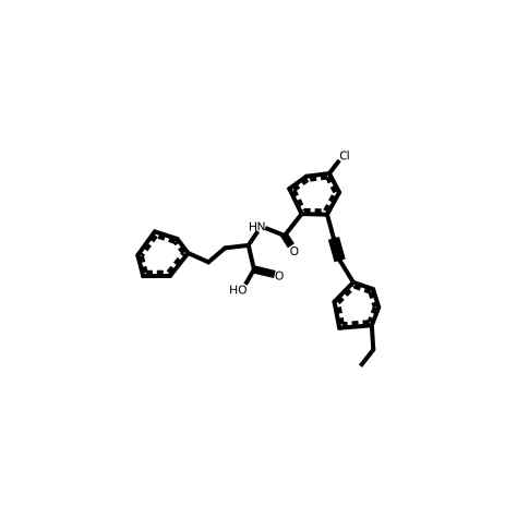 CCc1ccc(C#Cc2cc(Cl)ccc2C(=O)NC(CCc2ccccc2)C(=O)O)cc1